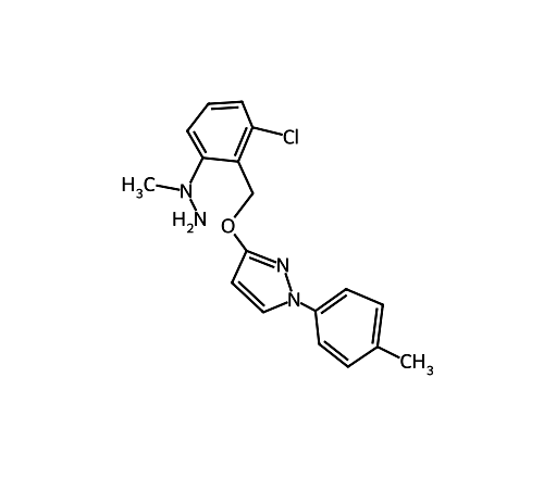 Cc1ccc(-n2ccc(OCc3c(Cl)cccc3N(C)N)n2)cc1